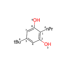 CCCc1c(O)cc(C(C)(C)C)cc1O